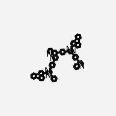 c1ccc(-c2cc(-c3ccc(-c4ccc5c(-c6ccc(-c7cc(-c8ccc(-c9ccnc%10ccccc9%10)cc8)nc(-c8ccc9c%10c(cccc8%10)-c8ccccc8-9)n7)cc6)cc6cccnc6c5n4)cc3)nc(-c3ccc4c5c(cccc35)-c3ccccc3-4)n2)cc1